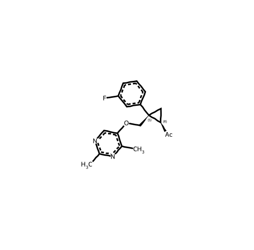 CC(=O)[C@@H]1C[C@@]1(COc1cnc(C)nc1C)c1cccc(F)c1